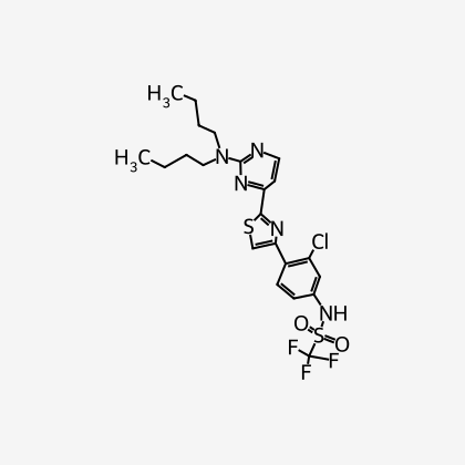 CCCCN(CCCC)c1nccc(-c2nc(-c3ccc(NS(=O)(=O)C(F)(F)F)cc3Cl)cs2)n1